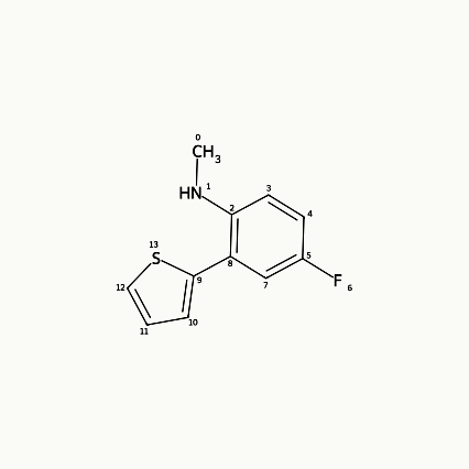 CNc1ccc(F)cc1-c1cccs1